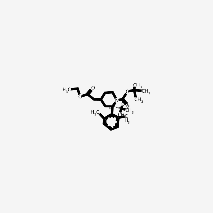 CCOC(=O)CC1CCN(C(=O)OC(C)(C)C)[C@](c2c(C)cccc2C)(C(C)(C)C)C1